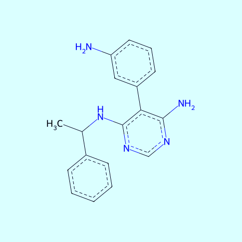 CC(Nc1ncnc(N)c1-c1cccc(N)c1)c1ccccc1